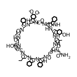 CCCC[C@H]1C(=O)N(C)CC(=O)N[C@@H](CC(=O)O)C(=O)N[C@@H](C(C)C)C(=O)N(C)[C@@H](Cc2ccccc2)C(=O)N[C@@H](Cc2ccc(OC)c(OC)c2)C(=O)N(C)CC(=O)N[C@@H](Cc2c[nH]c3ccccc23)C(=O)N[C@@H](Cc2ccc(O)cc2)C(=O)N[C@@H](CC(C)C)C(=O)N[C@H](C(=O)NCC(N)=O)CSCC(=O)N[C@@H](Cc2ccccc2)C(=O)N(C)[C@@H](Cc2ccccc2)C(=O)N1C